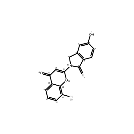 O=C1c2ccc(O)cc2CN1c1cc(=O)c2cccc(Cl)c2o1